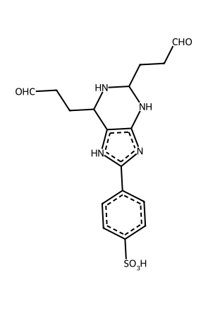 O=CCCC1Nc2nc(-c3ccc(S(=O)(=O)O)cc3)[nH]c2C(CCC=O)N1